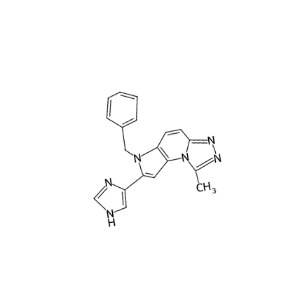 Cc1nnc2ccc3c(cc(-c4c[nH]cn4)n3Cc3ccccc3)n12